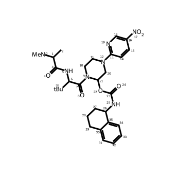 CNC(C)C(=O)NC(C(=O)N1CCN(c2ccc([N+](=O)[O-])cn2)CC1OC(=O)NC1CCCc2ccccc21)C(C)(C)C